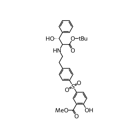 COC(=O)c1cc(S(=O)(=O)c2ccc(CCNC(C(=O)OC(C)(C)C)[C@H](O)c3ccccc3)cc2)ccc1O